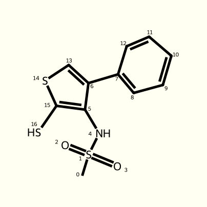 CS(=O)(=O)Nc1c(-c2ccccc2)csc1S